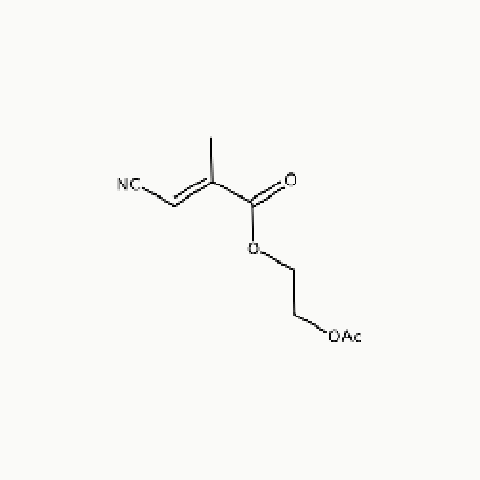 CC(=O)OCCOC(=O)C(C)=CC#N